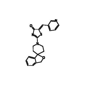 O=C1N=C(N2CCC3(CC2)OCc2ccccc23)SC1=Cc1cccnc1